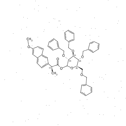 COc1ccc2cc([C@H](C)C(=O)OC3O[C@H](COCc4ccccc4)[C@@H](OCc4ccccc4)[C@H](OCc4ccccc4)[C@H]3OCc3ccccc3)ccc2c1